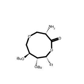 CC[C@H]1OC(=O)[C@@H](N)COC[C@H](OCC(C)C)[C@H]1OCC(C)C